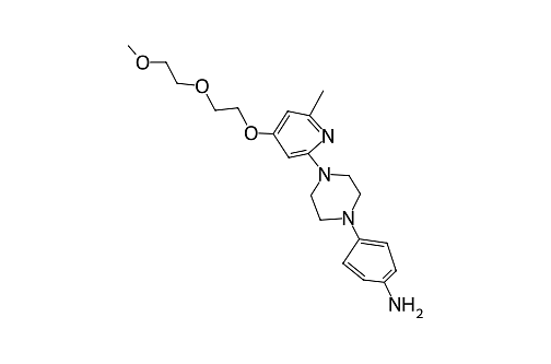 COCCOCCOc1cc(C)nc(N2CCN(c3ccc(N)cc3)CC2)c1